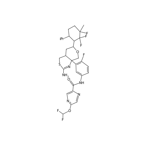 CC(C)C1CCC(C)(F)C(F)(F)C1C1CC2CSC(N)=NC2(c2cc(NC(=O)c3cnc(OC(F)F)cn3)ccc2F)CO1